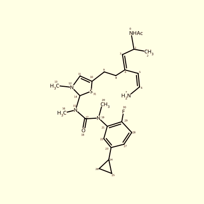 CC(=O)NC(C)/C=C(\C=C/N)CCC1=CN(C)C(N(C)C(=O)N(C)c2cc(C3CC3)ccc2F)S1